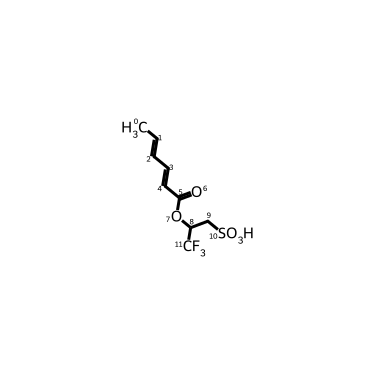 C/C=C/C=C/C(=O)OC(CS(=O)(=O)O)C(F)(F)F